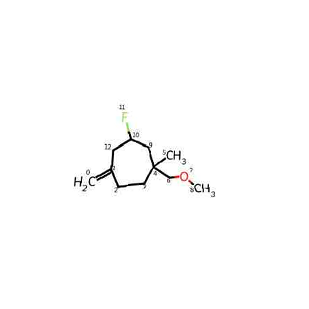 C=C1CCC(C)(COC)CC(F)C1